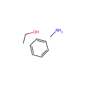 CCO.CN.c1ccccc1